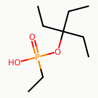 CCC(CC)(CC)OP(=O)(O)CC